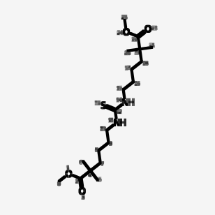 COC(=O)C(C)(C)CCCCNC(=S)NCCCCC(C)(C)C(=O)OC